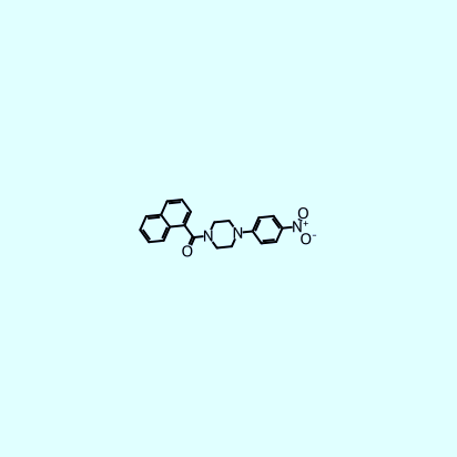 O=C(c1cccc2ccccc12)N1CCN(c2ccc([N+](=O)[O-])cc2)CC1